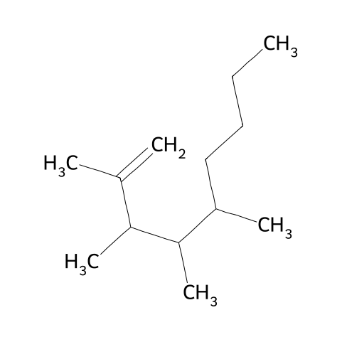 C=C(C)C(C)C(C)C(C)CCCC